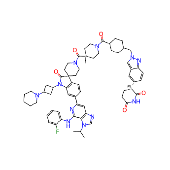 CC(C)n1cnc2cc(-c3ccc4c(c3)N(C3CC(N5CCCCC5)C3)C(=O)C43CCN(C(=O)C4(C)CCN(C(=O)C5CCC(Cn6cc7cc([C@H]8CCC(=O)NC8=O)ccc7n6)CC5)CC4)CC3)nc(Nc3ccccc3F)c21